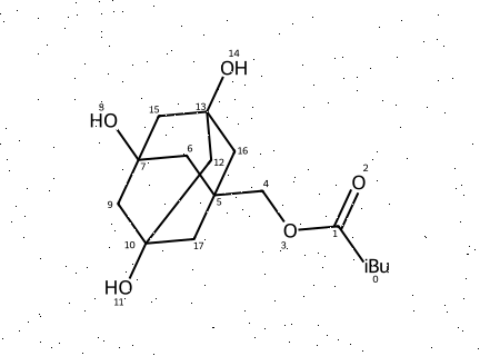 CCC(C)C(=O)OCC12CC3(O)CC(O)(CC(O)(C3)C1)C2